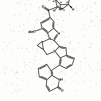 COc1cc(C(=O)N2C[C@H]3CC[C@@H]2[C@@H]3N)cc2nc(-c3cc4cccc(-c5cccc6ccc(=O)[nH]c56)c4n3CC3CC3)n(C)c12